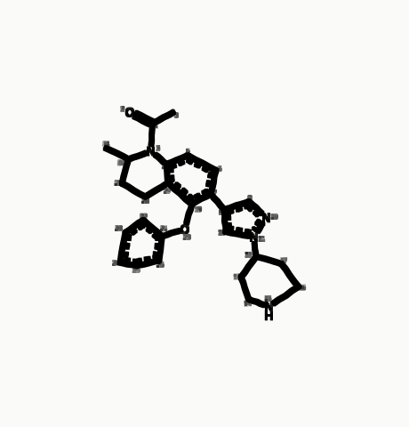 CC(=O)N1c2ccc(-c3cnn(C4CCNCC4)c3)c(Oc3ccccc3)c2CCC1C